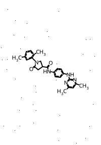 Cc1ccc(C)c(N2CC(C(=O)Nc3ccc(Nc4nc(C)cc(C)n4)cc3)CC2=O)c1